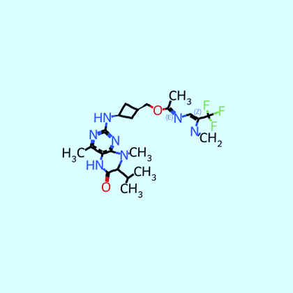 C=N/C(=C\N=C(/C)OC[C@H]1C[C@@H](Nc2nc(C)c3c(n2)N(C)C(C(C)C)C(=O)N3)C1)C(F)(F)F